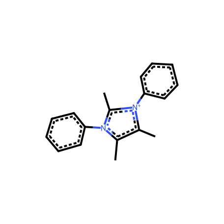 Cc1c(C)[n+](-c2ccccc2)c(C)n1-c1ccccc1